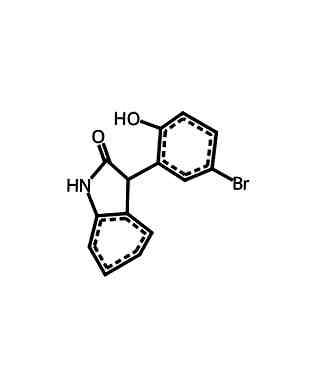 O=C1Nc2ccccc2C1c1cc(Br)ccc1O